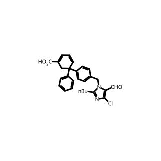 CCCCc1nc(Cl)c(C=O)n1Cc1ccc(C2(c3ccccc3)C=CC=C(C(=O)O)C2)cc1